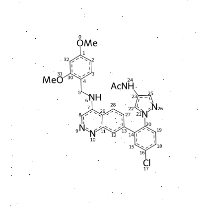 COc1ccc(CNc2cnnc3cc(-c4cc(Cl)ccc4-n4cc(NC(C)=O)cn4)ccc23)c(OC)c1